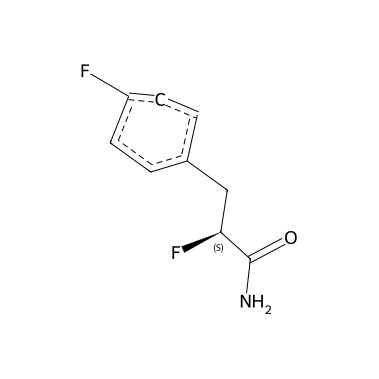 NC(=O)[C@@H](F)Cc1ccc(F)cc1